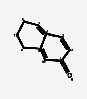 O=C1C=CC2=CCCCC2=C1